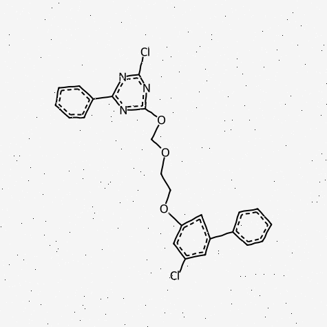 Clc1cc(OCCOCOc2nc(Cl)nc(-c3ccccc3)n2)cc(-c2ccccc2)c1